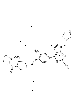 Cc1cc(-c2nc(C#N)nc3c2ccn3CC2CCOC2)ccc1OCC1CCN(C(=O)[C@@H]2CCCN2C)CC1